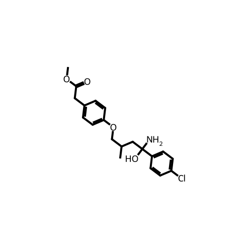 COC(=O)Cc1ccc(OCC(C)CC(N)(O)c2ccc(Cl)cc2)cc1